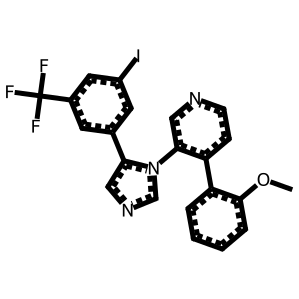 COc1ccccc1-c1ccncc1-n1cncc1-c1cc(I)cc(C(F)(F)F)c1